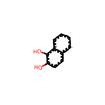 Oc1ccc2[c]cccc2c1O